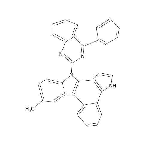 Cc1ccc2c(c1)c1c3ccccc3c3[nH]ccc3c1n2-c1nc(-c2ccccc2)c2ccccc2n1